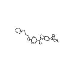 C[S+]([O-])c1ccc2c(c1)CCN2C(=O)c1ccc(OCCCN2CCCCC2)cc1